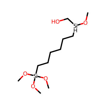 CO[SiH](CO)CCCCCC[Si](OC)(OC)OC